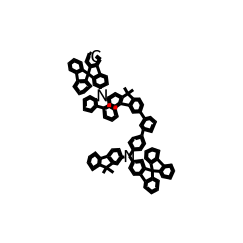 CC1(C)c2ccccc2-c2ccc(N(c3ccc(-c4cccc(-c5ccc6c(c5)-c5ccc(N(c7ccc8c(c7)C7(c9ccccc9-c9ccccc97)c7ccccc7-8)c7ccccc7-c7ccccc7)cc5C6(C)C)c4)cc3)c3ccc4c(c3)C3(c5ccccc5-c5ccccc53)c3ccccc3-4)cc21